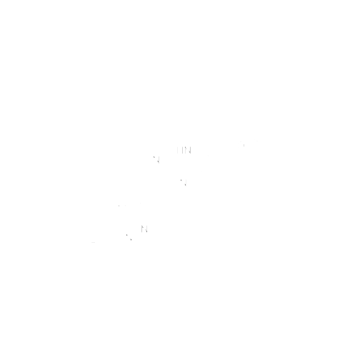 FC(F)c1nnc(-c2cnc(NC3(c4ccccc4OC(F)(F)F)CCC3)nc2)o1